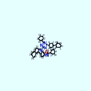 c1ccc(-c2ccc(-c3nc(-c4ccccc4)nc(-n4c5ccc6ccccc6c5c5ccc6nc(-c7ccccc7)oc6c54)n3)cc2)cc1